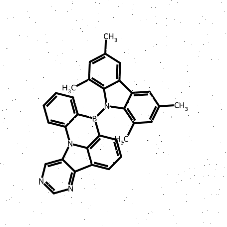 Cc1cc(C)c2c(c1)c1cc(C)cc(C)c1n2B1c2ccccc2-n2c3cncnc3c3cccc1c32